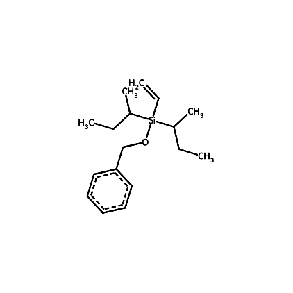 C=C[Si](OCc1ccccc1)(C(C)CC)C(C)CC